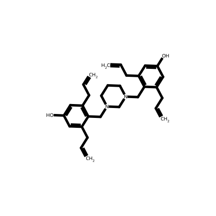 C=CCc1cc(O)cc(CC=C)c1CN1CCCN(Cc2c(CC=C)cc(O)cc2CC=C)C1